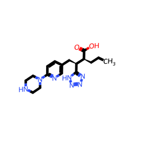 CCC[C@H](C(=O)O)[C@H](Cc1ccc(N2CCNCC2)nc1)c1nnn[nH]1